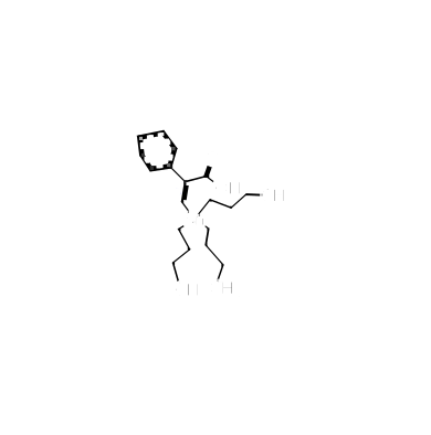 CCC[CH2][Sn](/[CH]=C(\C(=O)O)c1ccccc1)([CH2]CCC)[CH2]CCC